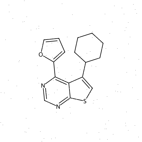 c1coc(-c2ncnc3scc(C4CCCCC4)c23)c1